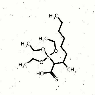 CCCCCCC(C)C(C(O)=S)[Si](OCC)(OCC)OCC